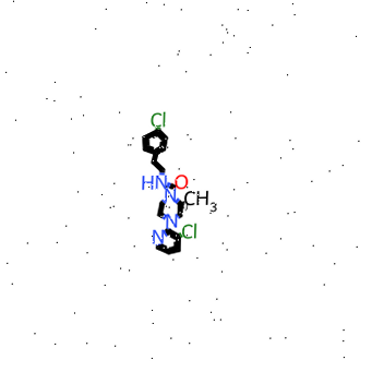 C[C@@H]1CN(c2ncccc2Cl)CCN1C(=O)NCCc1ccc(Cl)cc1